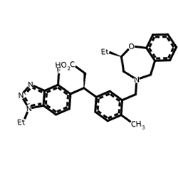 CC[C@@H]1CN(Cc2cc([C@H](CC(=O)O)c3ccc4c(nnn4CC)c3F)ccc2C)Cc2ccccc2O1